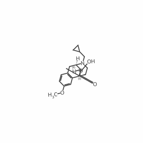 COc1ccc2c(c1)[C@]13CCN(CC4CC4)[C@H](C2)[C@@H]1C(O)OC(=O)C3